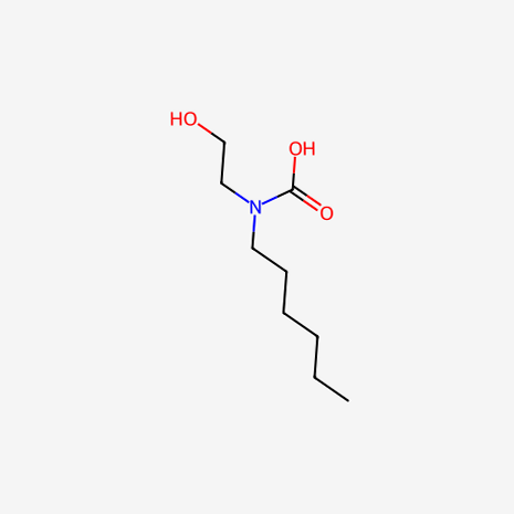 CCCCCCN(CCO)C(=O)O